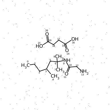 CCCC(C)CC(C)(C)NC(=O)CN.O=C(O)CCC(=O)O